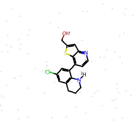 [2H]N1CCCc2cc(Cl)cc(-c3ccnc4cc(CO)sc34)c21